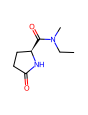 CCN(C)C(=O)[C@@H]1CCC(=O)N1